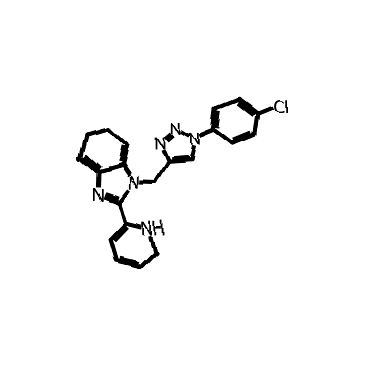 Clc1ccc(-n2cc(Cn3c(C4=CC=CCN4)nc4c3=CCCC=4)nn2)cc1